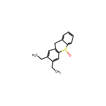 CCc1cc2c(cc1CC)[S+]([O-])c1ccccc1C2